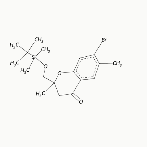 Cc1cc2c(cc1Br)OC(C)(CO[Si](C)(C)C(C)(C)C)CC2=O